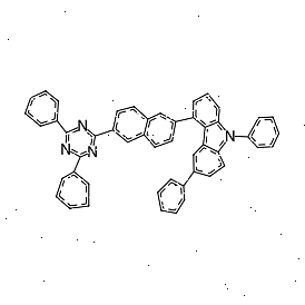 c1ccc(-c2ccc3c(c2)c2c(-c4ccc5cc(-c6nc(-c7ccccc7)nc(-c7ccccc7)n6)ccc5c4)cccc2n3-c2ccccc2)cc1